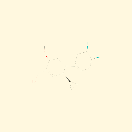 CC(C)O[C@H]1CC(C2=CC[C@H](F)[C@H](F)C2)[C@@H](C2CC2)C=C1CO